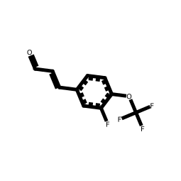 O=[C]C=Cc1ccc(OC(F)(F)F)c(F)c1